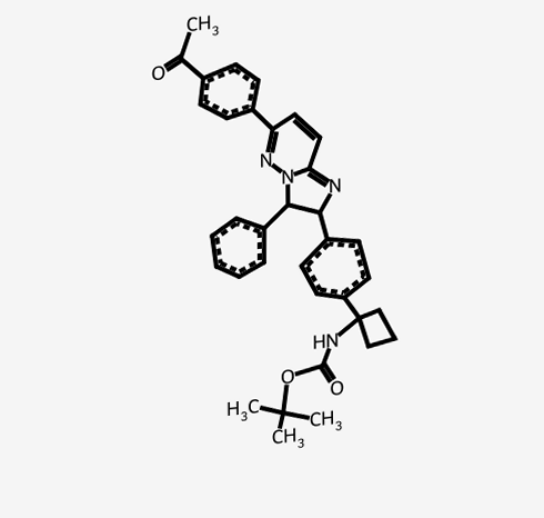 CC(=O)c1ccc(C2=NN3C(=NC(c4ccc(C5(NC(=O)OC(C)(C)C)CCC5)cc4)C3c3ccccc3)C=C2)cc1